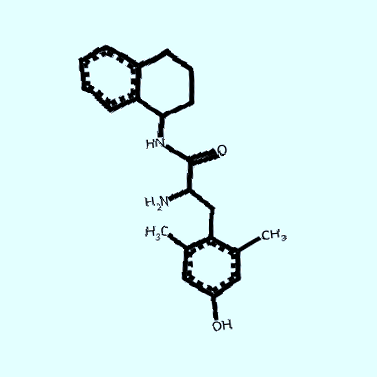 Cc1cc(O)cc(C)c1CC(N)C(=O)NC1CCCc2ccccc21